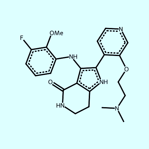 COc1c(F)cccc1Nc1c(-c2ccncc2OCCN(C)C)[nH]c2c1C(=O)NCC2